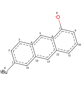 CCCCc1ccc2cc3c([O])cccc3cc2c1